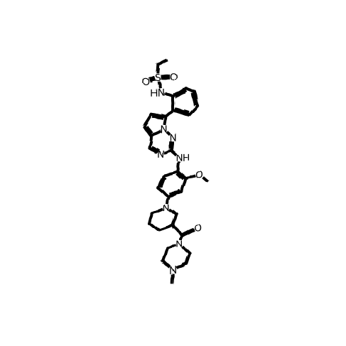 CCS(=O)(=O)Nc1ccccc1-c1ccc2cnc(Nc3ccc(N4CCCC(C(=O)N5CCN(C)CC5)C4)cc3OC)nn12